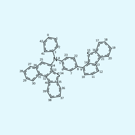 c1ccc(N(c2ccc(-c3cccc4c3sc3ccccc34)cc2)c2cc3ccccc3c3c2sc2ccccc23)cc1